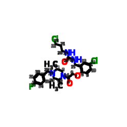 C[C@@H]1CN(C(=O)COc2ccc(Cl)cc2CNC(=O)NCCCCl)[C@@H](C)CN1Cc1ccc(F)cc1